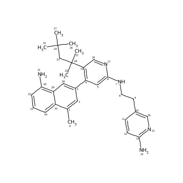 Cc1cc(-c2cc(NCCc3ccc(N)nc3)ncc2C(C)(C)CC(C)(C)C)cc2c(N)cccc12